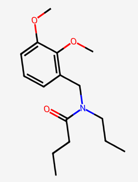 CCCC(=O)N(CCC)Cc1cccc(OC)c1OC